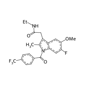 CCNC(=O)Cc1c(C)n(C(=O)c2ccc(C(F)(F)F)cc2)c2cc(F)c(OC)cc12